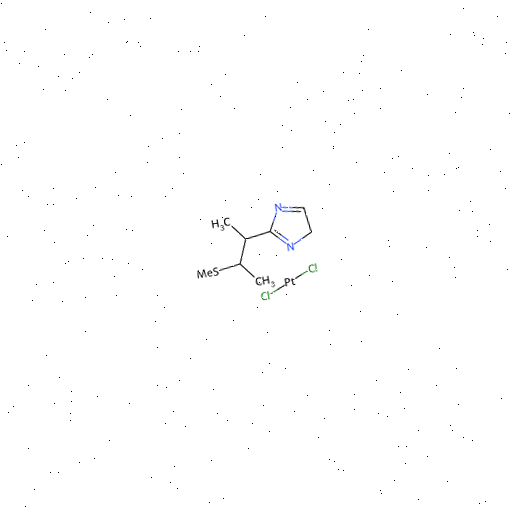 CSC(C)C(C)C1=NCC=N1.[Cl][Pt][Cl]